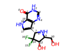 O=c1[nH]cnc2c([C@@H]3NC(CO)[C@@H](O)C3(F)F)c[nH]c12